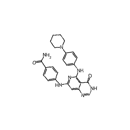 NC(=O)c1ccc(Nc2cc3nc[nH]c(=O)c3c(Nc3ccc(N4CCCCC4)cc3)n2)cc1